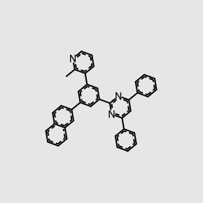 Cc1ncccc1-c1cc(-c2ccc3ccccc3c2)cc(-c2nc(-c3ccccc3)cc(-c3ccccc3)n2)c1